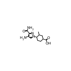 CC1CC(C(=O)O)CCC1n1cc(N)c(C(N)=O)n1